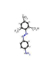 Nc1ccc(/N=N/c2c(C(=O)O)cc([N+](=O)[O-])cc2C(F)(F)F)cc1